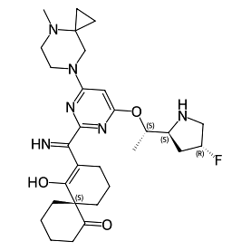 C[C@H](Oc1cc(N2CCN(C)C3(CC3)C2)nc(C(=N)C2=C(O)[C@]3(CCCCC3=O)CCC2)n1)[C@@H]1C[C@@H](F)CN1